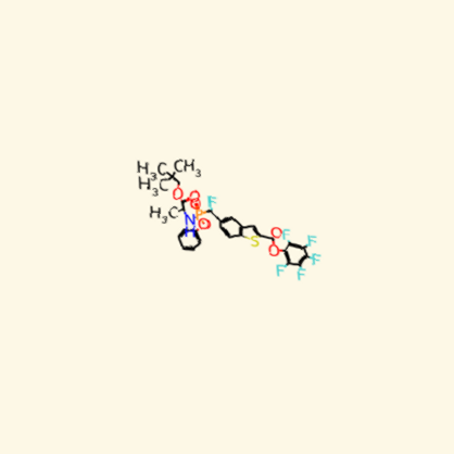 CC(N[P@@](=O)(Oc1ccccc1)C(F)c1ccc2sc(C(=O)Oc3c(F)c(F)c(F)c(F)c3F)cc2c1)C(=O)OCC(C)(C)C